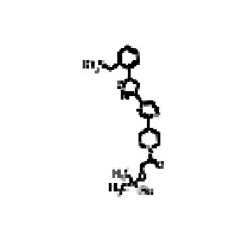 CC(C)(C)[Si](C)(C)OCC(=O)N1CCC(c2nc(C3=NOC(c4ccccc4CS(=O)(=O)O)C3)cs2)CC1